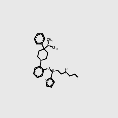 CN(C)C1(c2ccccc2)CCN(c2ccccc2O[C@H](CCNCCF)c2cccs2)CC1